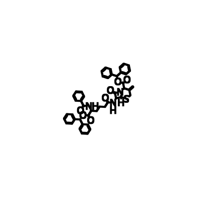 C=C1CS[C@@H]2C(NC(=O)CCCC(NC(=O)c3ccccc3)C(=O)OC(c3ccccc3)c3ccccc3)C(=O)N2C1C(=O)OC(c1ccccc1)c1ccccc1